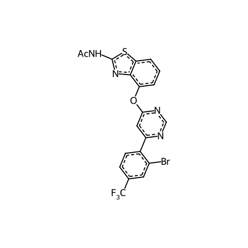 CC(=O)Nc1nc2c(Oc3cc(-c4ccc(C(F)(F)F)cc4Br)ncn3)cccc2s1